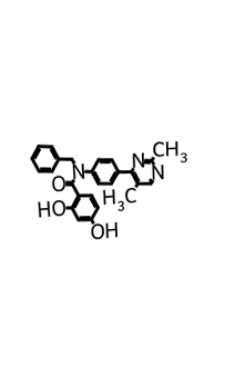 Cc1ncc(C)c(-c2ccc(N(Cc3ccccc3)C(=O)c3ccc(O)cc3O)cc2)n1